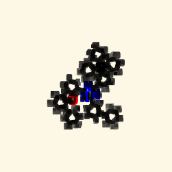 C1=CC(c2nc(-c3cccc(-c4ccccc4)c3)nc(-c3cccc([Si](c4ccccc4)(c4ccccc4)c4ccccc4)c3)n2)C2Oc3c(cccc3-c3ccccc3)C2=C1